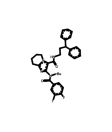 CCCCN(C(=O)c1ccc(F)c(F)c1)c1nc2n(c1C(=O)NCCC(c1ccccc1)c1ccccc1)CCCC2